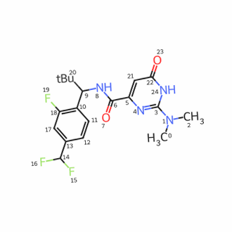 CN(C)c1nc(C(=O)NC(c2ccc(C(F)F)cc2F)C(C)(C)C)cc(=O)[nH]1